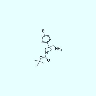 CC(C)(C)OC(=O)N1CC(CN)(c2ccc(F)cc2)C1